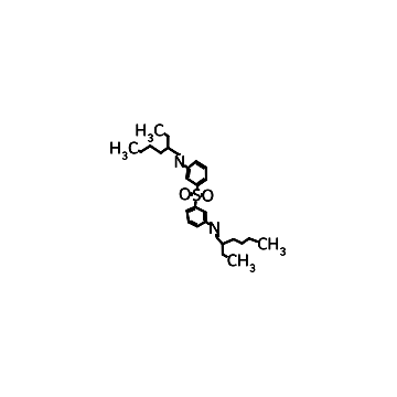 CCCCC(C=Nc1cccc(S(=O)(=O)c2cccc(N=CC(CC)CCCC)c2)c1)CC